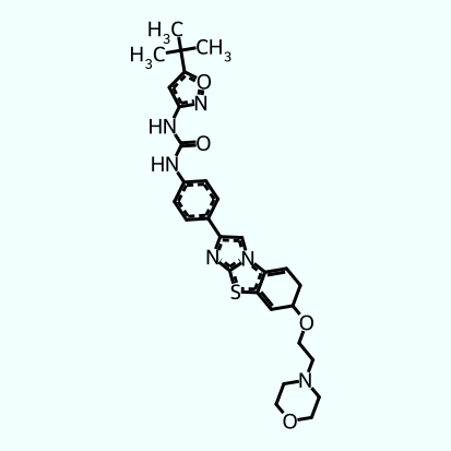 CC(C)(C)c1cc(NC(=O)Nc2ccc(-c3cn4c5c(sc4n3)=CC(OCCN3CCOCC3)CC=5)cc2)no1